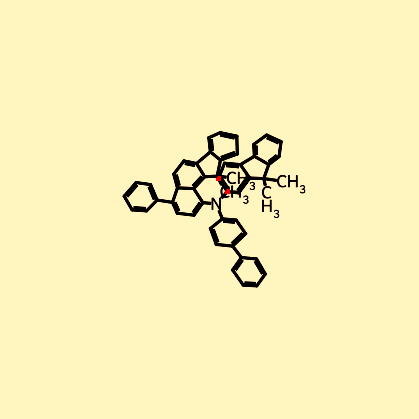 CC1(C)c2ccccc2-c2ccc(N(c3ccc(-c4ccccc4)cc3)c3ccc(-c4ccccc4)c4ccc5c(c34)C(C)(C)c3ccccc3-5)cc21